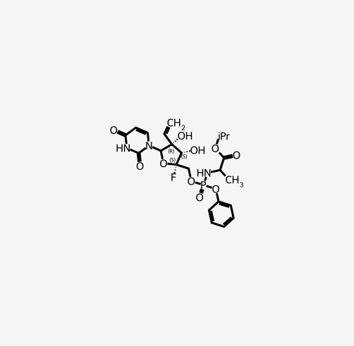 C=C[C@]1(O)C(n2ccc(=O)[nH]c2=O)O[C@](F)(COP(=O)(NC(C)C(=O)OC(C)C)Oc2ccccc2)[C@H]1O